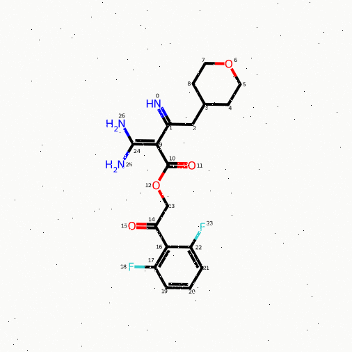 N=C(CC1CCOCC1)C(C(=O)OCC(=O)c1c(F)cccc1F)=C(N)N